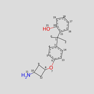 CC(C)(c1ccc(OC2CC(N)C2)cc1)c1ccccc1O